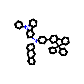 c1ccc(-n2c3ccccc3c3cc(N(c4ccc(-c5ccc6c(c5)C(c5ccccc5)(c5ccccc5)c5ccccc5-6)cc4)c4ccc5cc6ccccc6cc5c4)ccc32)cc1